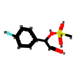 CS(=O)(=O)OC(C=O)c1ccc(F)cc1